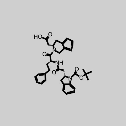 CC(C)(C)OC(=O)N1c2ccccc2C[C@@H]1CC(=O)N[C@@H](CCc1ccccc1)C(=O)N1Cc2ccccc2C[C@@H]1CC(=O)O